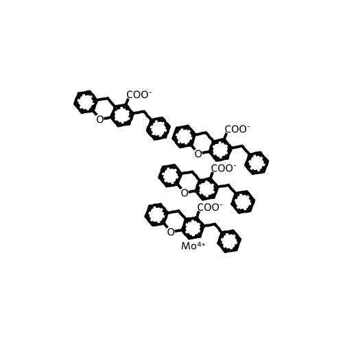 O=C([O-])c1c(Cc2ccccc2)ccc2c1Cc1ccccc1O2.O=C([O-])c1c(Cc2ccccc2)ccc2c1Cc1ccccc1O2.O=C([O-])c1c(Cc2ccccc2)ccc2c1Cc1ccccc1O2.O=C([O-])c1c(Cc2ccccc2)ccc2c1Cc1ccccc1O2.[Mo+4]